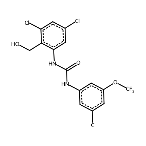 O=C(Nc1cc(Cl)cc(OC(F)(F)F)c1)Nc1cc(Cl)cc(Cl)c1CO